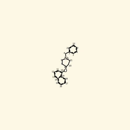 c1ccc(CN2CCC(Oc3cccc4ccccc34)CC2)cc1